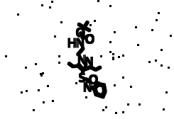 CCc1nn(CCNC(=O)OC(C)(C)C)c(CC)c1Sc1nc2ccccc2o1